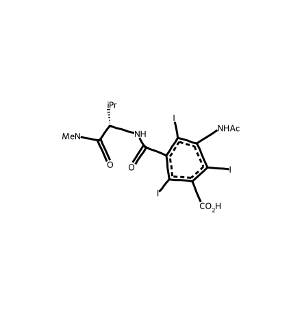 CNC(=O)[C@@H](NC(=O)c1c(I)c(NC(C)=O)c(I)c(C(=O)O)c1I)C(C)C